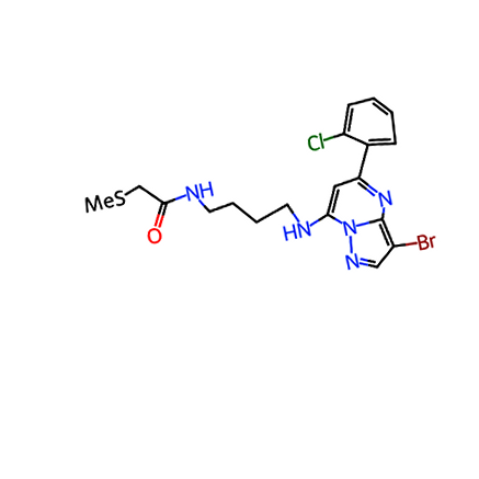 CSCC(=O)NCCCCNc1cc(-c2ccccc2Cl)nc2c(Br)cnn12